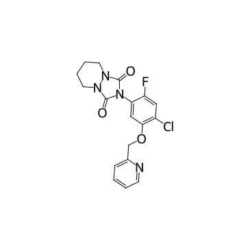 O=c1n(-c2cc(OCc3ccccn3)c(Cl)cc2F)c(=O)n2n1CCCC2